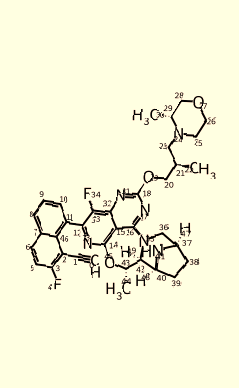 C#Cc1c(F)ccc2cccc(-c3nc4c5c(nc(OC[C@H](C)CN6CCOC[C@H]6C)nc5c3F)N3C[C@H]5CC[C@H](N5)[C@H]3[C@H](C)O4)c12